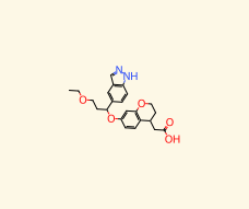 CCOCCC(Oc1ccc2c(c1)OCCC2CC(=O)O)c1ccc2[nH]ncc2c1